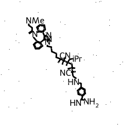 C=C(CCNC)N1Cc2ccccc2-c2c(nnn2CCCCCC(C)(C#N)C(C)(C)C(C)(CC(C)C)CC(C)(C)C(C)(C#N)CCNCc2ccc(C(=N)N)cc2)-c2ccccc21